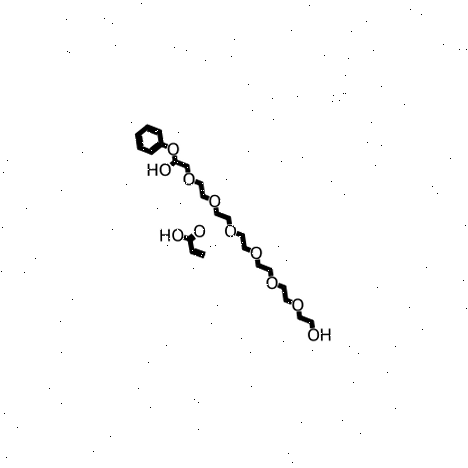 C=CC(=O)O.OCCOCCOCCOCCOCCOCCOCC(O)Oc1ccccc1